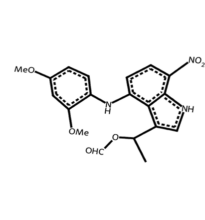 COc1ccc(Nc2ccc([N+](=O)[O-])c3[nH]cc(C(C)OC=O)c23)c(OC)c1